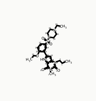 CCCn1c(=O)n(C)c(=O)c2[nH]c(-c3cc(S(=O)(=O)N4CCN(CC)CC4)ccc3OCC)cc21